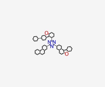 c1ccc(-c2ccc3c(c2)oc2cccc(-c4nc(-c5ccc6c(ccc7ccccc76)c5)nc(-c5ccc6c(ccc7oc8ccccc8c76)c5)n4)c23)cc1